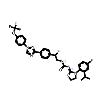 CC(C)c1cc(F)ccc1N1CCS/C1=N\C(=O)NCC(F)c1ccc(-c2ncn(-c3ccc(OC(F)(F)F)cc3)n2)cc1